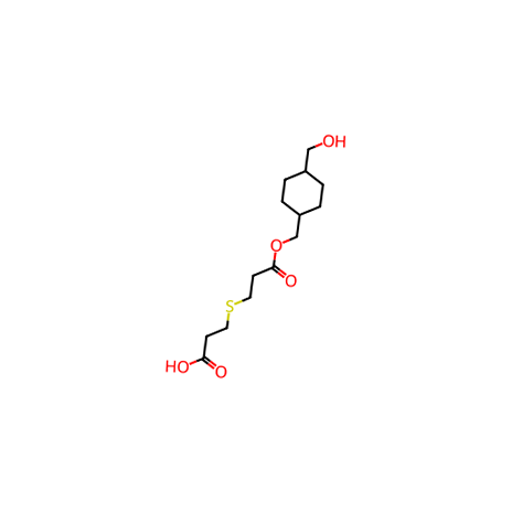 O=C(O)CCSCCC(=O)OCC1CCC(CO)CC1